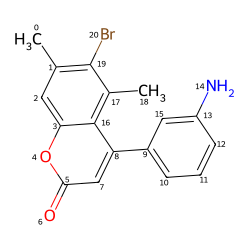 Cc1cc2oc(=O)cc(-c3cccc(N)c3)c2c(C)c1Br